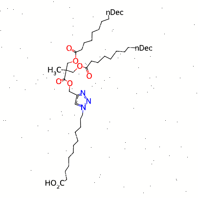 CCCCCCCCCCCCCCCCCC(=O)OCC(C)(COC(=O)CCCCCCCCCCCCCCCCC)C(=O)OCc1cn(CCCCCCCCCCCC(=O)O)nn1